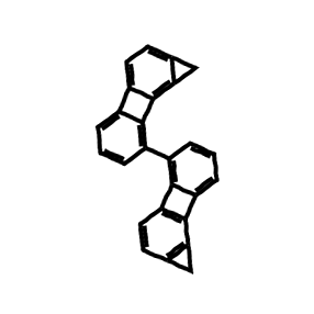 c1cc(-c2cccc3c2-c2c-3ccc3c2C3)c2c(c1)-c1c-2ccc2c1C2